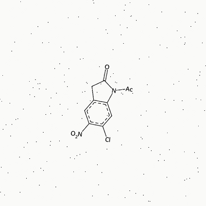 CC(=O)N1C(=O)Cc2cc([N+](=O)[O-])c(Cl)cc21